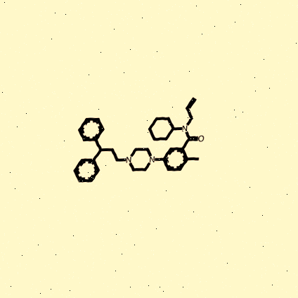 C=CCN(C(=O)c1cc(N2CCN(CCC(c3ccccc3)c3ccccc3)CC2)ccc1C)C1CCCCC1